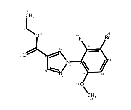 CCOC(=O)c1cnn(-c2c(OC)ccc(Br)c2F)c1